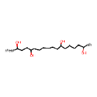 CCCCCC(O)CCC(O)CCCCCCC(O)CCCCC(O)CCC